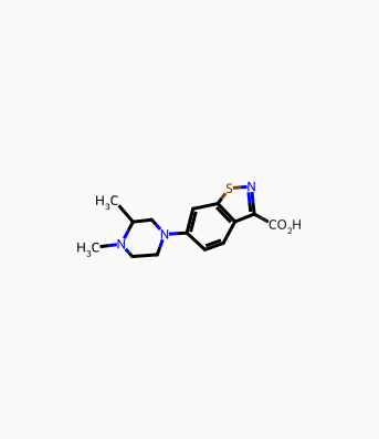 CC1CN(c2ccc3c(C(=O)O)nsc3c2)CCN1C